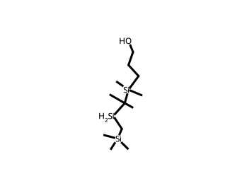 CC(C)([SiH2]C[Si](C)(C)C)[Si](C)(C)CCCO